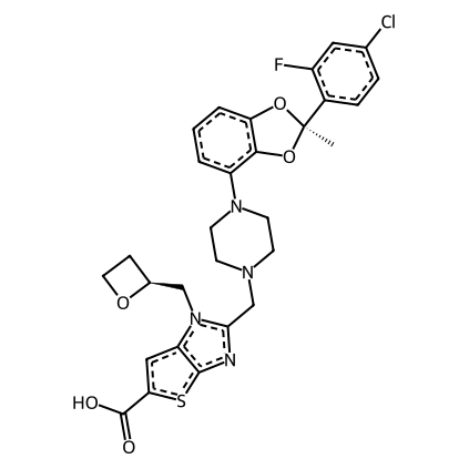 C[C@@]1(c2ccc(Cl)cc2F)Oc2cccc(N3CCN(Cc4nc5sc(C(=O)O)cc5n4C[C@@H]4CCO4)CC3)c2O1